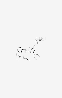 CC=CCOC(=O)N(C)c1cccc(CNc2cc(N3CCOCC3)cc(CSc3nnc(CC)s3)n2)c1